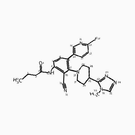 CCCC(=O)Nc1ccc(-c2ccc(F)nc2)c(N2CCC(c3nncn3C)CC2)c1C#N